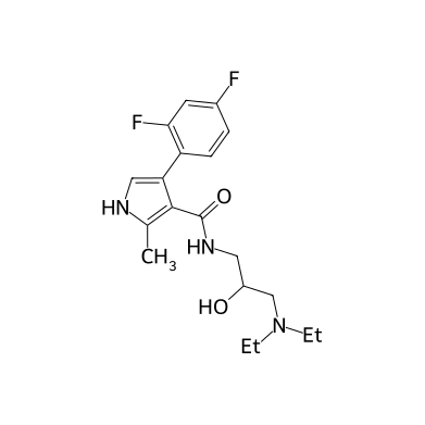 CCN(CC)CC(O)CNC(=O)c1c(-c2ccc(F)cc2F)c[nH]c1C